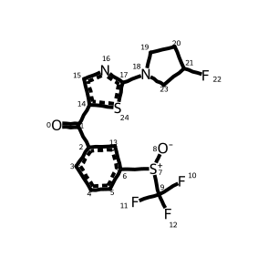 O=C(c1cccc([S+]([O-])C(F)(F)F)c1)c1cnc(N2CCC(F)C2)s1